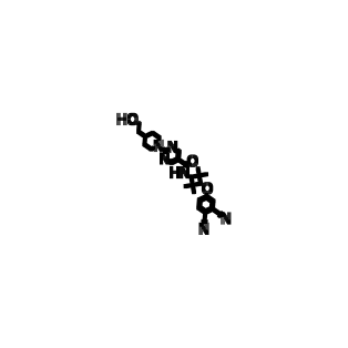 CC1(C)[C@H](NC(=O)c2cnc(N3CCC(CCO)CC3)nc2)C(C)(C)[C@H]1Oc1ccc(C#N)c(C#N)c1